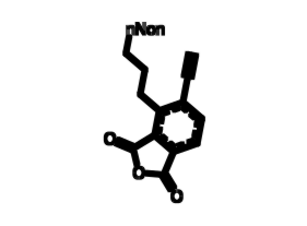 C#Cc1ccc2c(c1CCCCCCCCCCCC)C(=O)OC2=O